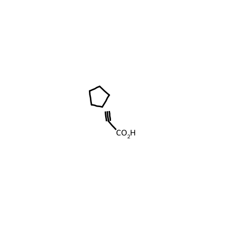 C#CC(=O)O.C1CCCC1